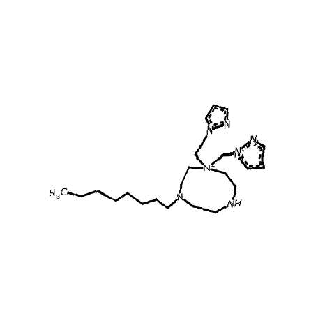 CCCCCCCCN1CCNCC[N+](Cn2cccn2)(Cn2cccn2)CC1